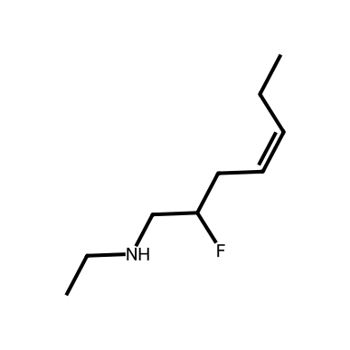 CC/C=C\CC(F)CNCC